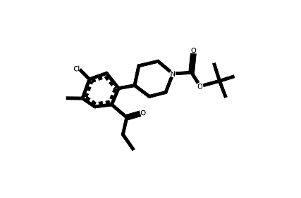 CCC(=O)c1cc(C)c(Cl)cc1C1CCN(C(=O)OC(C)(C)C)CC1